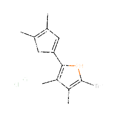 CC1=C(C)CC(c2[pH][c]([Ti+2])c(C)c2C)=C1.[Cl-].[Cl-]